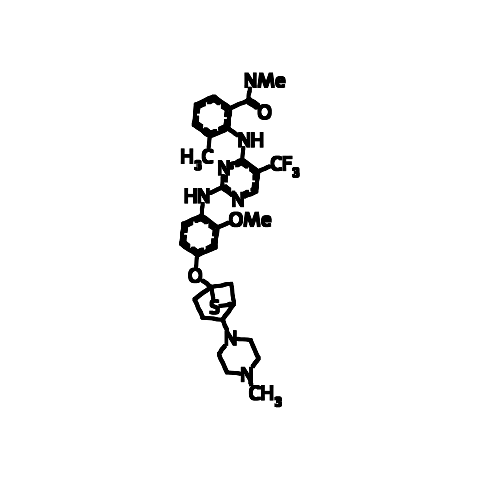 CNC(=O)c1cccc(C)c1Nc1nc(Nc2ccc(OC34CCC(N5CCN(C)CC5)C(C3)S4)cc2OC)ncc1C(F)(F)F